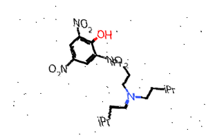 CC(C)CCN(CCC(C)C)CCC(C)C.O=[N+]([O-])c1cc([N+](=O)[O-])c(O)c([N+](=O)[O-])c1